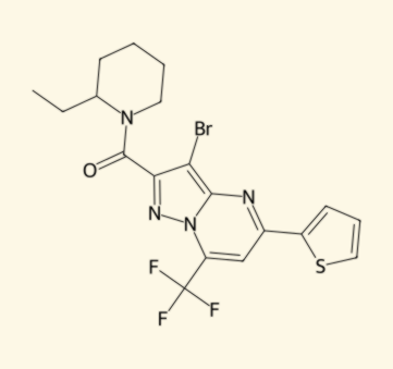 CCC1CCCCN1C(=O)c1nn2c(C(F)(F)F)cc(-c3cccs3)nc2c1Br